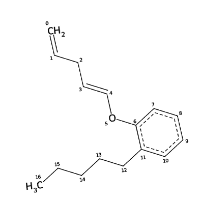 C=CCC=COc1ccccc1CCCCC